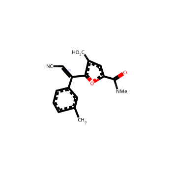 CNC(=O)c1cc(C(=O)O)c(/C(=C/C#N)c2cccc(C)c2)o1